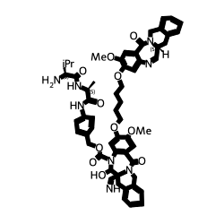 COc1cc2c(cc1OCCCCCOc1cc3c(cc1OC)C(=O)N1Cc4ccccc4CC1(C=N)C(O)N3C(=O)OCc1ccc(NC(=O)[C@H](C)NC(=O)[C@@H](N)C(C)C)cc1)N=C[C@@H]1Cc3ccccc3CN1C2=O